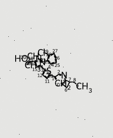 C=C(/C=N\C1CCC1CC)c1ccc(-c2cc(C(C)(C)O)nn2-c2ccccc2Cl)s1